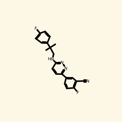 CC(C)(CNc1ccc(-c2ccc(F)c(C#N)c2)nn1)c1ccc(F)cc1